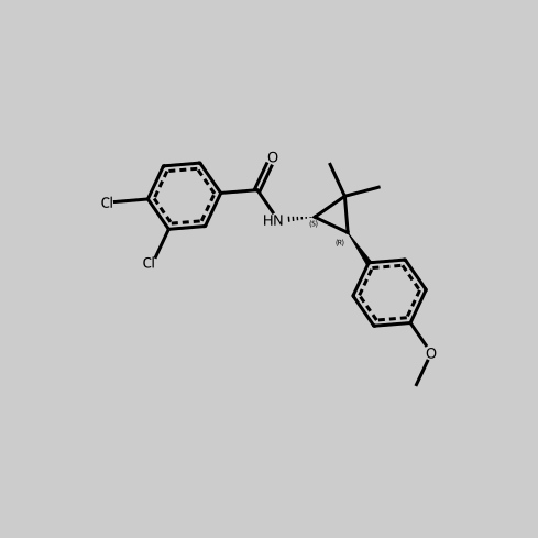 COc1ccc([C@H]2[C@H](NC(=O)c3ccc(Cl)c(Cl)c3)C2(C)C)cc1